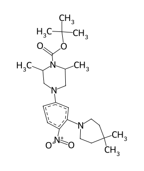 CC1CN(c2ccc([N+](=O)[O-])c(N3CCC(C)(C)CC3)c2)CC(C)N1C(=O)OC(C)(C)C